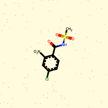 CS(=O)(=O)NC(=O)c1ccc(Cl)cc1[N+](=O)[O-]